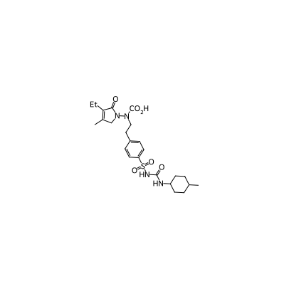 CCC1=C(C)CN(N(CCc2ccc(S(=O)(=O)NC(=O)NC3CCC(C)CC3)cc2)C(=O)O)C1=O